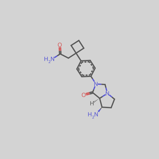 NC(=O)CC1(c2ccc(N3CN4CC[C@@H](N)[C@H]4C3=O)cc2)CCC1